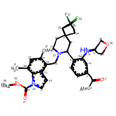 COC(=O)c1ccc(C2CC3(CCN2Cc2c(OC)cc(C)c4c2ccn4C(=O)OC(C)(C)C)CC(F)(F)C3)c(NC2COC2)c1